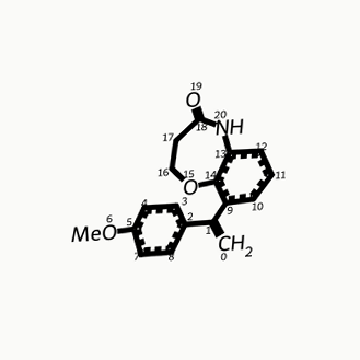 C=C(c1ccc(OC)cc1)c1cccc2c1OCCC(=O)N2